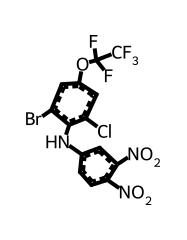 O=[N+]([O-])c1ccc(Nc2c(Cl)cc(OC(F)(F)C(F)(F)F)cc2Br)cc1[N+](=O)[O-]